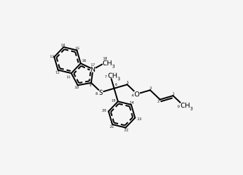 C/C=C/COCC(C)(Sc1cc2ccccc2n1C)c1ccccc1